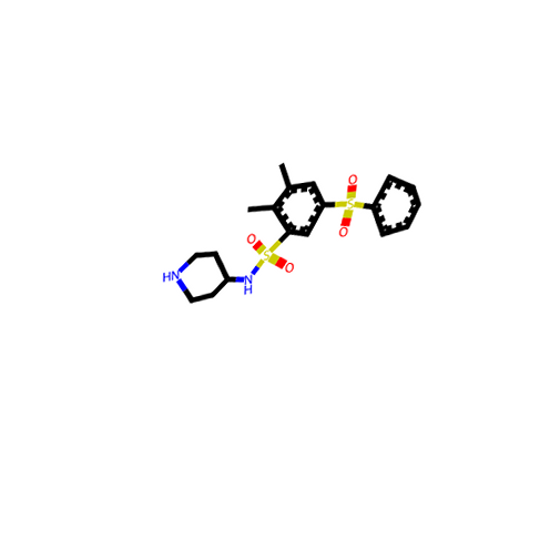 Cc1cc(S(=O)(=O)c2ccccc2)cc(S(=O)(=O)NC2CCNCC2)c1C